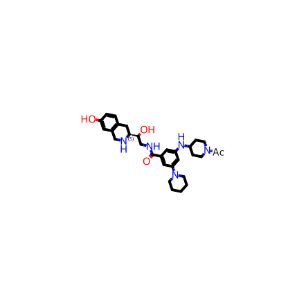 CC(=O)N1CCC(Nc2cc(C(=O)NCC(O)[C@@H]3Cc4ccc(O)cc4CN3)cc(N3CCCCC3)c2)CC1